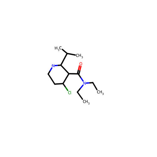 CCN(CC)C(=O)C1C(Cl)CC[N]C1C(C)C